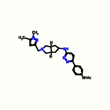 CC(=O)Nc1ccc(-c2ccc(NC3C[C@@H]4CN(Cc5cc(C)n(C)n5)C[C@@H]4C3)nn2)cc1